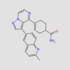 Cc1ccc2cc(-c3cnn4ccnc(C5=CCC(C(N)=O)CC5)c34)ccc2n1